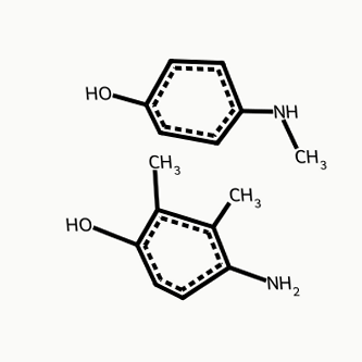 CNc1ccc(O)cc1.Cc1c(N)ccc(O)c1C